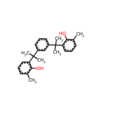 Cc1cccc(C(C)(C)c2cccc(C(C)(C)c3cccc(C)c3O)c2)c1O